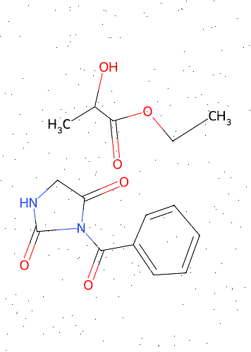 CCOC(=O)C(C)O.O=C1CNC(=O)N1C(=O)c1ccccc1